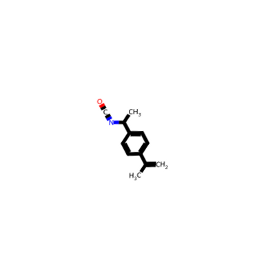 C=C(C)c1ccc(C(C)N=C=O)cc1